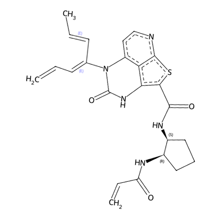 C=C/C=C(\C=C\C)N1C(=O)Nc2c(C(=O)N[C@H]3CCC[C@H]3NC(=O)C=C)sc3nccc1c23